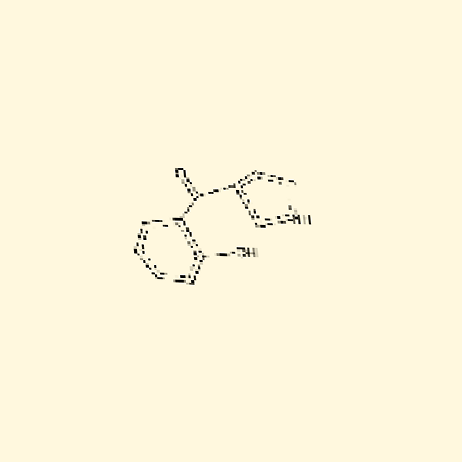 O=C(c1cc[nH]c1)c1ccccc1O